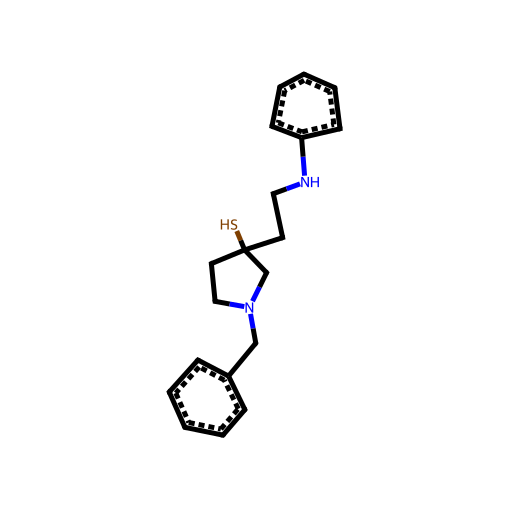 SC1(CCNc2ccccc2)CCN(Cc2ccccc2)C1